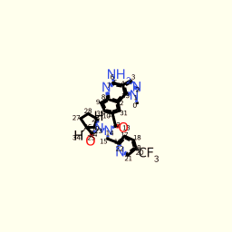 Cn1ncc2c(N)nc3ccc(C(=O)N(Cc4ccc(C(F)(F)F)cn4)N4C(=O)[C@H]5CC[C@@H]4C5)cc3c21